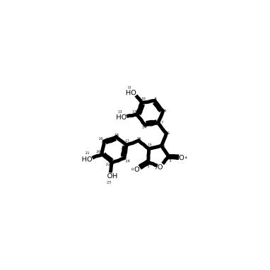 O=C1OC(=O)C(Cc2ccc(O)c(O)c2)C1Cc1ccc(O)c(O)c1